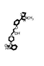 Cn1nc(-c2cccc(OC[C@H](O)CN3CCC(n4c(=O)[nH]c5ccccc54)CC3)c2)c2sccc21